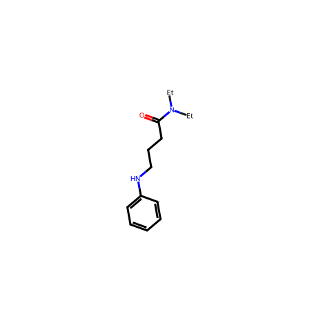 CCN(CC)C(=O)CCCNc1[c]cccc1